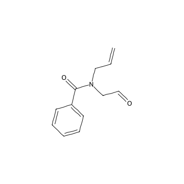 C=CCN(CC=O)C(=O)c1ccccc1